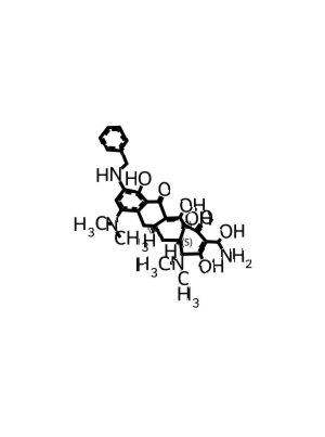 CN(C)c1cc(NCc2ccccc2)c(O)c2c1C[C@H]1C[C@H]3C(N(C)C)C(O)=C(C(N)O)C(=O)[C@@]3(O)C(O)=C1C2=O